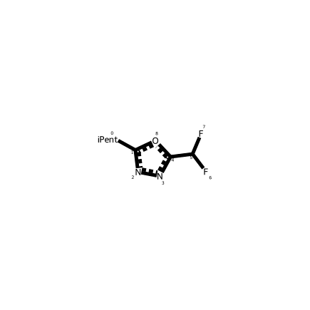 CCCC(C)c1nnc(C(F)F)o1